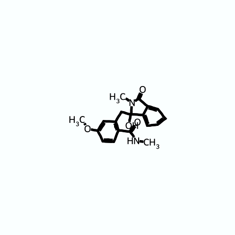 CNC(=O)c1ccc(OC)cc1CC1(O)c2ccccc2C(=O)N1C